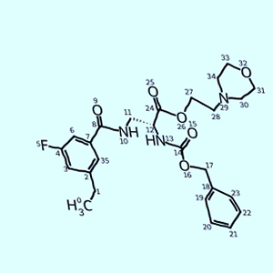 CCc1cc(F)cc(C(=O)NC[C@@H](NC(=O)OCc2ccccc2)C(=O)OCCN2CCOCC2)c1